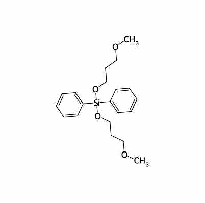 COCCCO[Si](OCCCOC)(c1ccccc1)c1ccccc1